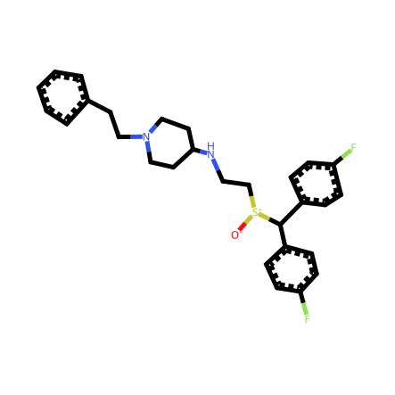 [O-][S+](CCNC1CCN(CCc2ccccc2)CC1)C(c1ccc(F)cc1)c1ccc(F)cc1